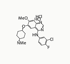 CN[C@H]1CC[C@@H](Oc2cc3c(Nc4ccc(F)c(Cl)c4)ncnc3cc2OC)CC1.Cl.Cl